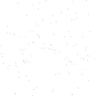 CC(C)(C)OC(=O)c1c(C2CC2)cc(Cl)nc1CCCCCOC(=O)c1ccccc1